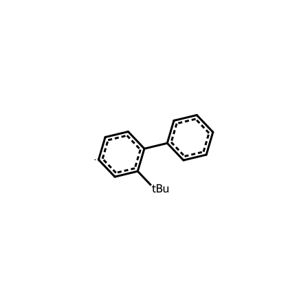 CC(C)(C)c1c[c]ccc1-c1ccccc1